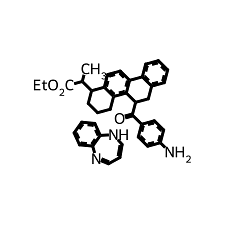 C1=CNc2ccccc2N=C1.CCOC(=O)C(C)C1CCCc2c1ccc1c2C(C(=O)c2ccc(N)cc2)Cc2ccccc2-1